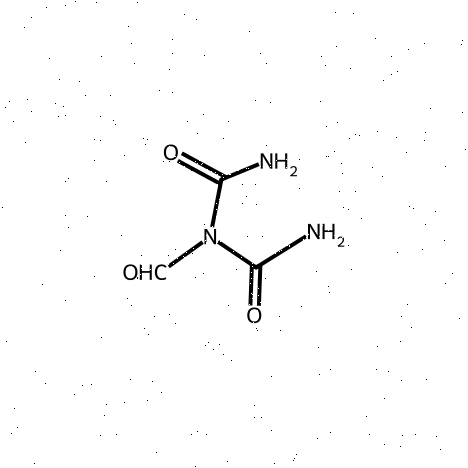 NC(=O)N(C=O)C(N)=O